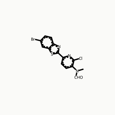 CN(C=O)c1ccc(-c2nc3ccc(Br)cc3s2)nc1Cl